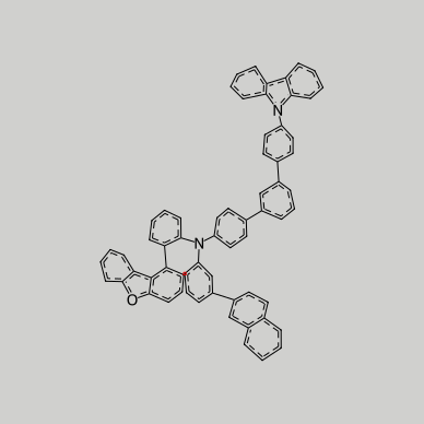 c1cc(-c2ccc(N(c3cccc(-c4ccc5ccccc5c4)c3)c3ccccc3-c3cccc4oc5ccccc5c34)cc2)cc(-c2ccc(-n3c4ccccc4c4ccccc43)cc2)c1